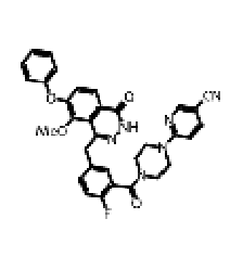 COc1c(Oc2ccccc2)ccc2c(=O)[nH]nc(Cc3ccc(F)c(C(=O)N4CCN(c5ccc(C#N)cn5)CC4)c3)c12